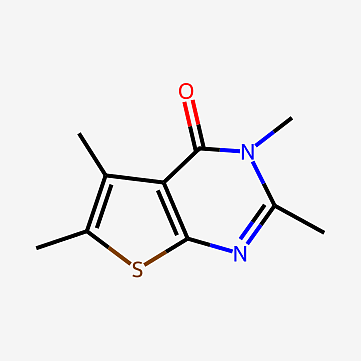 Cc1sc2nc(C)n(C)c(=O)c2c1C